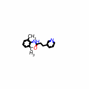 Cc1cccc(C)c1NC(=O)CCc1cccnc1